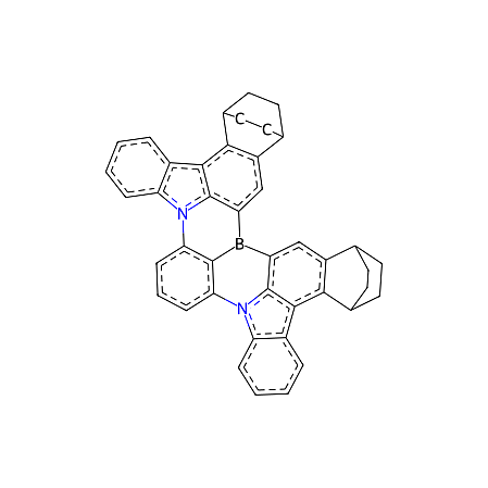 c1cc2c3c(c1)-n1c4ccccc4c4c5c(cc(c41)B3c1cc3c(c4c6ccccc6n-2c14)C1CCC3CC1)C1CCC5CC1